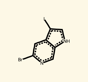 Brc1cc2c(I)c[nH]c2cn1